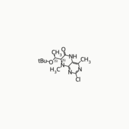 Cc1nc(Cl)nc2c1NC(=O)[C@H]([C@H](C)OC(C)(C)C)N2C